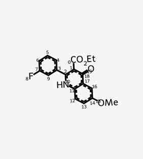 CCOC(=O)c1c(-c2cccc(F)c2)[nH]c2ccc(OC)cc2c1=O